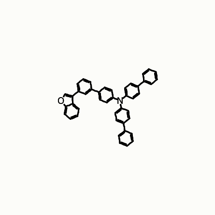 c1ccc(-c2ccc(N(c3ccc(-c4ccccc4)cc3)c3ccc(-c4cccc(-c5coc6ccccc56)c4)cc3)cc2)cc1